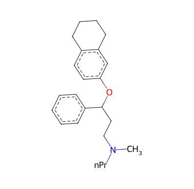 CCCN(C)CCC(Oc1ccc2c(c1)CCCC2)c1ccccc1